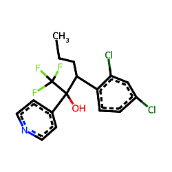 CCCC(c1ccc(Cl)cc1Cl)C(O)(c1ccncc1)C(F)(F)F